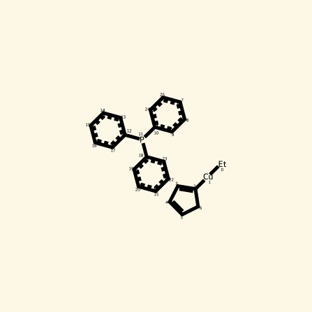 C[CH2][Cu][C]1=CC=CC1.c1ccc(P(c2ccccc2)c2ccccc2)cc1